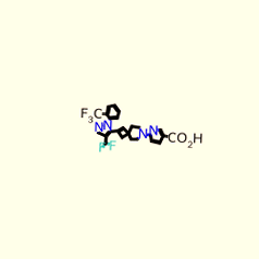 O=C(O)c1ccc(N2CCC3(C=C(c4c(C(F)F)cnn4-c4ccccc4C(F)(F)F)C3)CC2)nc1